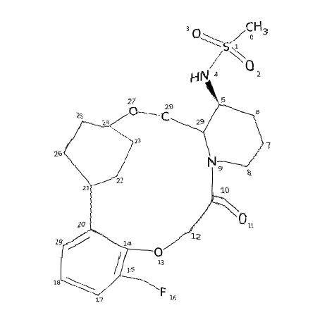 CS(=O)(=O)N[C@H]1CCCN2C(=O)COc3c(F)cccc3C3CCC(CC3)OCC12